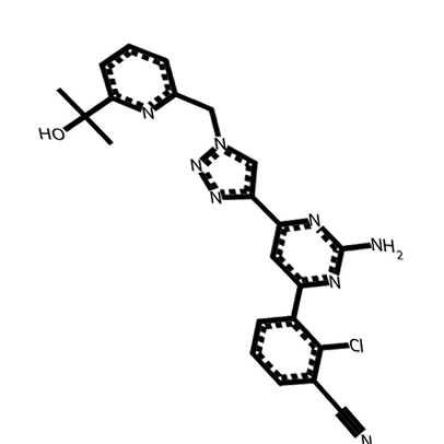 CC(C)(O)c1cccc(Cn2cc(-c3cc(-c4cccc(C#N)c4Cl)nc(N)n3)nn2)n1